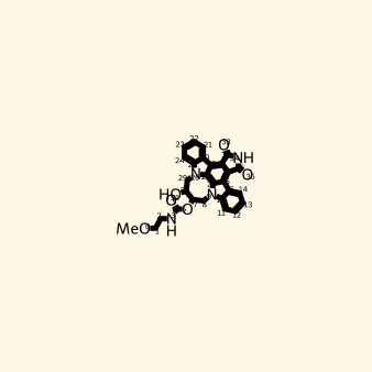 COCCNC(=O)OC1Cn2c3ccccc3c3c4c(c5c6ccccc6n(c5c32)CC1O)C(=O)NC4=O